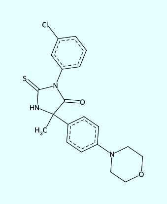 CC1(c2ccc(N3CCOCC3)cc2)NC(=S)N(c2cccc(Cl)c2)C1=O